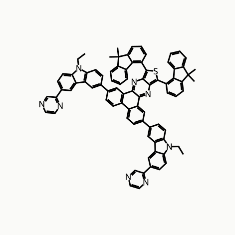 CCn1c2ccc(-c3ccc4c5ccc(-c6ccc7c(c6)c6cc(-c8cnccn8)ccc6n7CC)cc5c5nc6c(-c7cccc8c7-c7ccccc7C8(C)C)sc(-c7cccc8c7-c7ccccc7C8(C)C)c6nc5c4c3)cc2c2cc(-c3cnccn3)ccc21